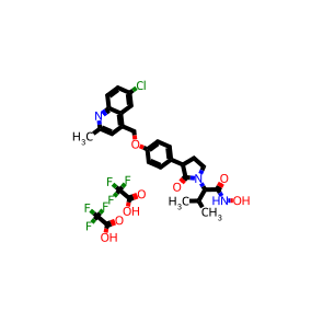 Cc1cc(COc2ccc(C3CCN(C(C(=O)NO)C(C)C)C3=O)cc2)c2cc(Cl)ccc2n1.O=C(O)C(F)(F)F.O=C(O)C(F)(F)F